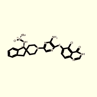 CC(C)(C)[S@@+]([O-])N[C@@H]1c2ccccc2CC12CCN(c1cnc(Sc3ccc4nc[nH]c(=O)c4c3Cl)c(N)n1)CC2